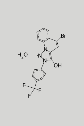 O.OC1=C2C=C(Br)c3ccccc3N2[N]N1c1ccc(C(F)(F)F)cc1